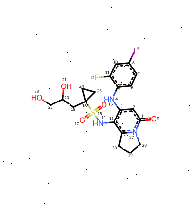 O=c1cc(Nc2ccc(I)cc2F)c(NS(=O)(=O)C2(CC(O)CO)CC2)c2n1CCC2